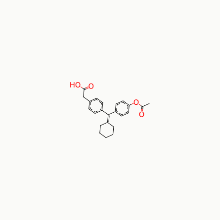 CC(=O)Oc1ccc(C(=C2CCCCC2)c2ccc(CC(=O)O)cc2)cc1